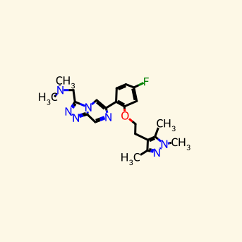 Cc1nn(C)c(C)c1CCOc1cc(F)ccc1-c1cn2c(CN(C)C)nnc2cn1